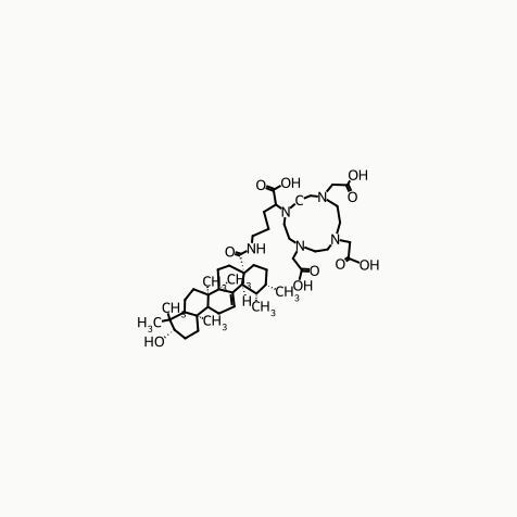 C[C@@H]1[C@H]2C3=CCC4[C@@]5(C)CC[C@H](O)C(C)(C)C5CC[C@@]4(C)[C@@]3(C)CC[C@@]2(C(=O)NCCCC(C(=O)O)N2CCN(CC(=O)O)CCN(CC(=O)O)CCN(CC(=O)O)CC2)CC[C@@H]1C